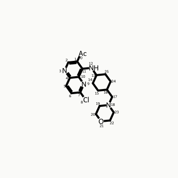 CC(=O)c1cnc2ccc(Cl)nc2c1NC1CCC(CN2CCOCC2)CC1